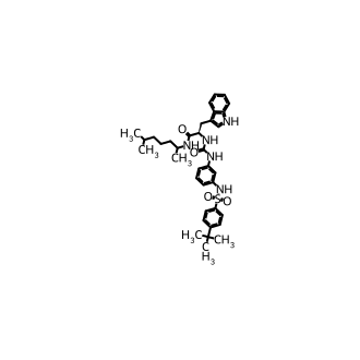 CC(C)CCCC(C)NC(=O)[C@@H](Cc1c[nH]c2ccccc12)NC(=O)Nc1cccc(NS(=O)(=O)c2ccc(C(C)(C)C)cc2)c1